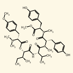 CC[C@H](C)[C@H](OC(=O)[C@@H](Cc1ccc(OC)cc1)N(C)C)C(=O)N[C@H](C(=O)N(C)[C@@H](Cc1ccc(O)cc1)C(=O)N(C)[C@H](Cc1ccc(O)cc1)C(=O)OC)C(C)C